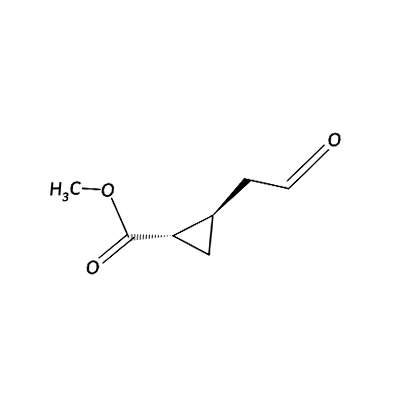 COC(=O)[C@H]1C[C@@H]1CC=O